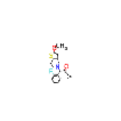 COc1cc2c(s1)CCN(C(C(=O)C1CC1)c1ccccc1F)C2